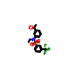 CCN(c1cccc(C(C)=O)c1)S(=O)(=O)c1cccc(C(F)(F)F)c1